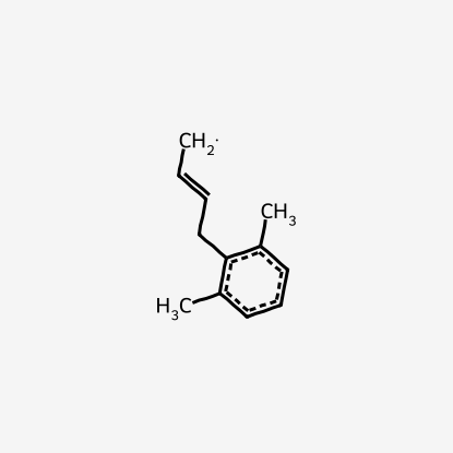 [CH2]C=CCc1c(C)cccc1C